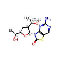 CCOC(=O)O[C@H](C)[C@@H]1C[C@@H]([C@@H](O)CC)O[C@H]1n1c(=O)sc2cnc(N)nc21